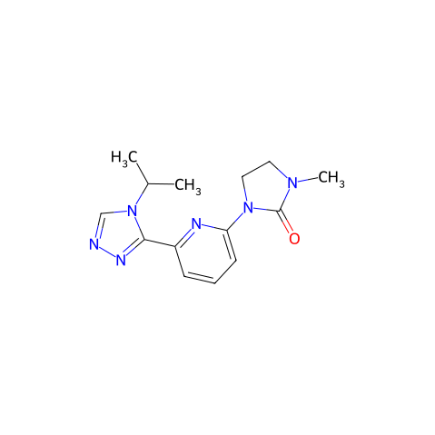 CC(C)n1cnnc1-c1cccc(N2CCN(C)C2=O)n1